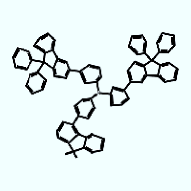 CC1(C)c2ccccc2-c2c(-c3ccc(N(c4cccc(-c5ccc6c(c5)-c5ccccc5C6(c5ccccc5)c5ccccc5)c4)c4cccc(-c5ccc6c(c5)-c5ccccc5C6(c5ccccc5)c5ccccc5)c4)cc3)cccc21